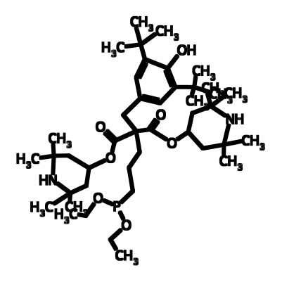 CCOP(CCCC(Cc1cc(C(C)(C)C)c(O)c(C(C)(C)C)c1)(C(=O)OC1CC(C)(C)NC(C)(C)C1)C(=O)OC1CC(C)(C)NC(C)(C)C1)OCC